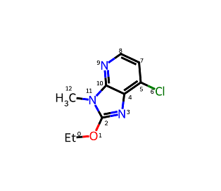 CCOc1nc2c(Cl)ccnc2n1C